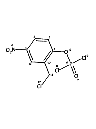 O=[N+]([O-])c1ccc(OP(=O)(Cl)Cl)c(CCl)c1